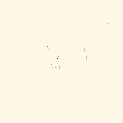 C[C@]12Cc3cnn(-c4ccc(F)cc4)c3C=C1CCC[C@@H]2[C@@H](O)c1ccc(F)c(OCS(C)(=O)=O)c1